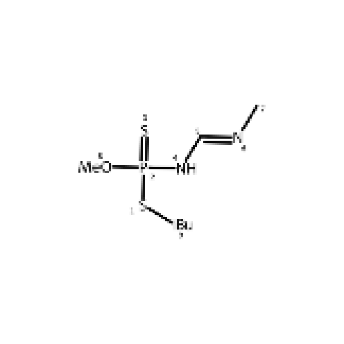 CCC(C)SP(=S)(NC=NC)OC